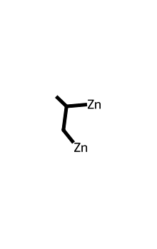 C[CH]([Zn])[CH2][Zn]